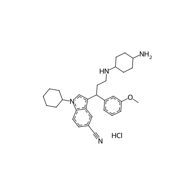 COc1cccc(C(CCNC2CCC(N)CC2)c2cn(C3CCCCC3)c3ccc(C#N)cc23)c1.Cl